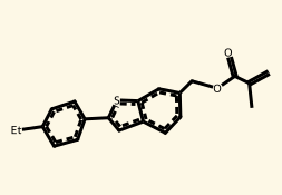 C=C(C)C(=O)OCc1ccc2cc(-c3ccc(CC)cc3)sc2c1